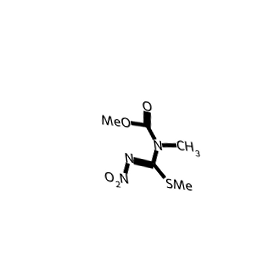 COC(=O)N(C)C(=N[N+](=O)[O-])SC